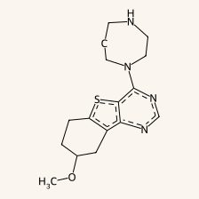 COC1CCc2sc3c(N4CCCNCC4)ncnc3c2C1